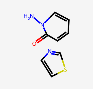 Nn1ccccc1=O.c1cscn1